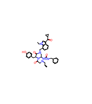 C=CCN1CC(=O)N2C(Cc3ccc(O)cc3)C(=O)N(Cc3cccc4c(C(=O)C5CC5)cn(CC)c34)CC2N1C(=O)NCc1ccccc1